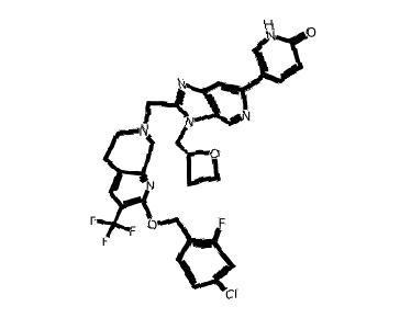 O=c1ccc(-c2cc3nc(CN4CCc5cc(C(F)(F)F)c(OCc6ccc(Cl)cc6F)nc5C4)n(C[C@@H]4CCO4)c3cn2)c[nH]1